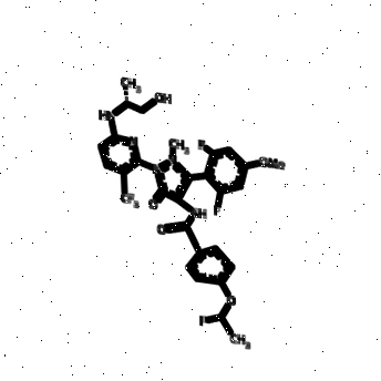 COc1cc(F)c(-c2c(NC(=O)c3ccc(OC(C)F)cc3)c(=O)n(-c3nc(N[C@H](C)CO)ccc3C(F)(F)F)n2C)c(F)c1